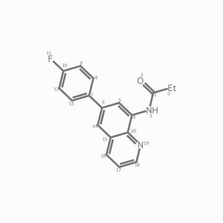 CCC(=O)Nc1cc(-c2ccc(F)cc2)cc2cccnc12